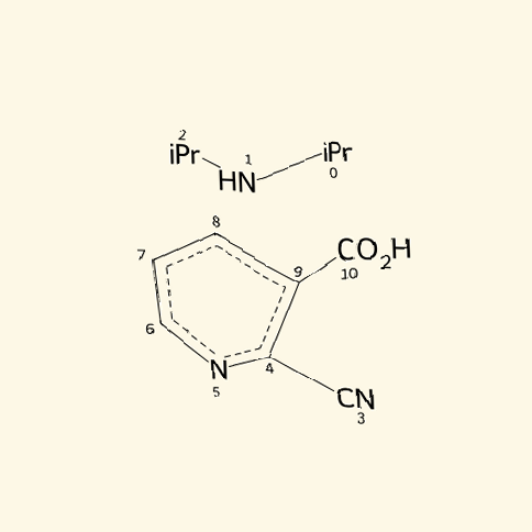 CC(C)NC(C)C.N#Cc1ncccc1C(=O)O